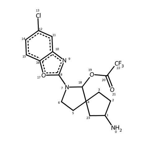 NC1CCC2(CCN(c3nc4cc(Cl)ccc4o3)C2OC(=O)C(F)(F)F)C1